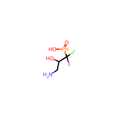 NCC(O)C(F)(I)[PH](=O)O